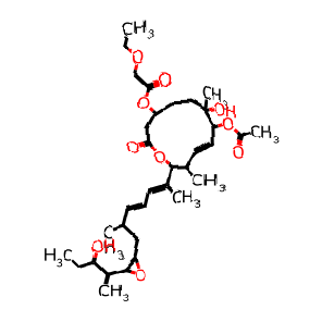 CCOCC(=O)OC1CCC(C)(O)C(OC(C)=O)/C=C/C(C)C(/C(C)=C/C=C/C(C)CC2OC2C(C)C(O)CC)OC(=O)C1